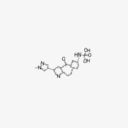 Cn1cc(-c2cnc3ccc4ccc(NP(=O)(O)O)cc4c(=O)c3c2)cn1